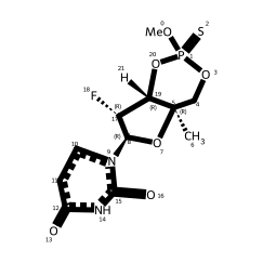 COP1(=S)OC[C@@]2(C)O[C@@H](n3ccc(=O)[nH]c3=O)[C@H](F)[C@@H]2O1